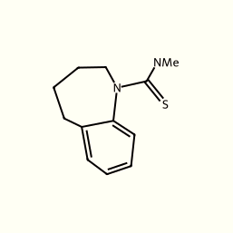 CNC(=S)N1CCCCc2ccccc21